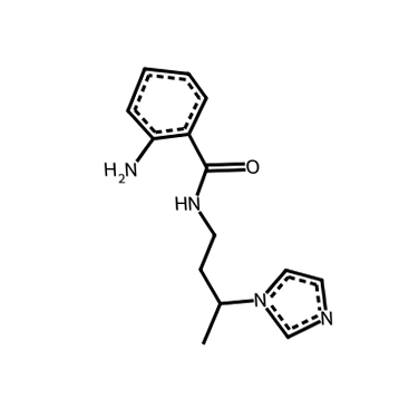 CC(CCNC(=O)c1ccccc1N)n1ccnc1